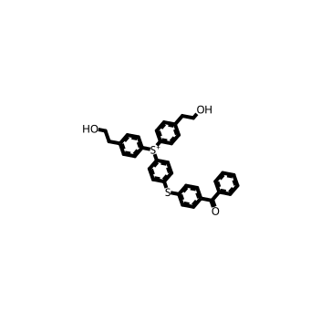 O=C(c1ccccc1)c1ccc(Sc2ccc([S+](c3ccc(CCO)cc3)c3ccc(CCO)cc3)cc2)cc1